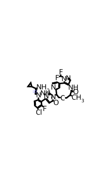 CC1CCCC(n2cnc(-c3c(N(N)/C=C(\N)C4CC4)ccc(Cl)c3F)cc2=O)c2cc(ccn2)-c2c(cnn2C(F)F)NC1=O